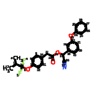 CC(C)C(F)(F)Oc1ccc(CC(=O)OC(C#N)c2cccc(Oc3ccccc3)c2)cc1